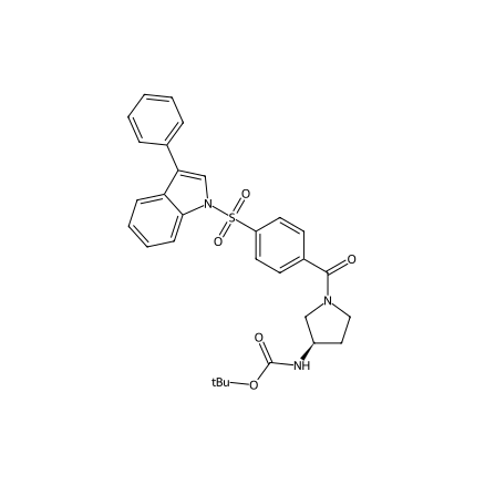 CC(C)(C)OC(=O)N[C@@H]1CCN(C(=O)c2ccc(S(=O)(=O)n3cc(-c4ccccc4)c4ccccc43)cc2)C1